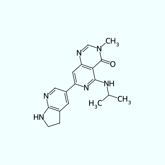 CC(C)Nc1nc(-c2cnc3c(c2)CCN3)cc2ncn(C)c(=O)c12